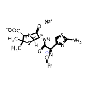 CC(C)O/N=C(\C(=O)N[C@H]1C(=O)N2[C@@H]1SC(C)(C)[C@@H]2C(=O)[O-])c1csc(N)n1.[Na+]